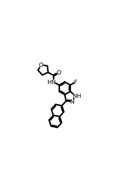 O=C(Nc1cc(F)c2[nH]nc(-c3ccc4ccccc4c3)c2c1)C1CCOC1